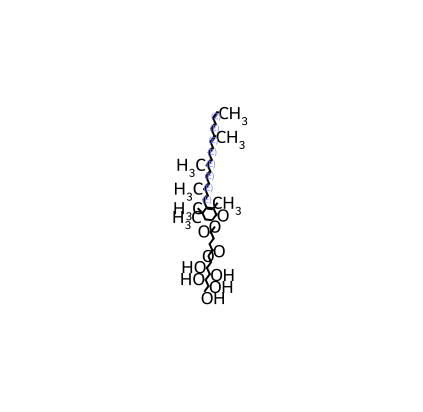 C\C=C/C=C/C(C)=C/C=C/C=C(C)/C=C/C=C(C)/C=C/C1=C(C)C(=O)C(OC(=O)CCC(=O)OCC(O)C(O)C(O)C(O)CO)CC1(C)C